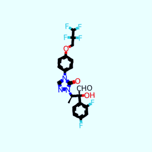 C[C@@H](n1ncn(-c2ccc(OCC(F)(F)C(F)F)cc2)c1=O)[C@@](O)(C=O)c1ccc(F)cc1F